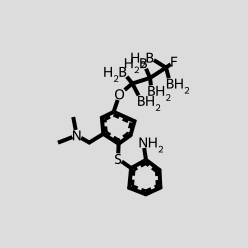 BC(B)(F)C(B)(B)C(B)(B)Oc1ccc(Sc2ccccc2N)c(CN(C)C)c1